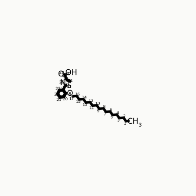 CCCCCCCCCCCCCCCCCCOc1ccccc1-c1nc(C(=O)O)cs1